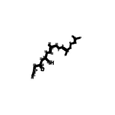 CC(C)=CCCC(C)=CCCC(C)=CCC(S)CC(=O)C=[N+]=[N-]